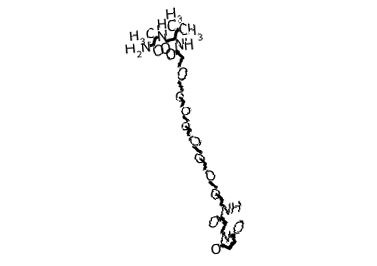 CC(NC(=O)C(NC(=O)CCOCCOCCOCCOCCOCCOCCOCCOCCNC(=O)CCN1C(=O)C=CC1=O)C(C)C)C(N)=O